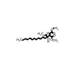 CCCCCCCCCCCC[C@](O)(C(=O)OC)/C(=C/C(=O)OC)C(=O)OC